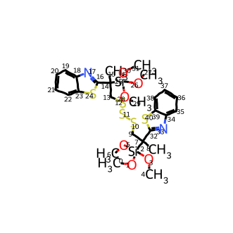 CO[Si](OC)(OC)C(C)(CSSSCC(C)(c1nc2ccccc2s1)[Si](OC)(OC)OC)c1nc2ccccc2s1